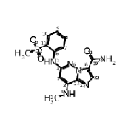 CNc1cc(Nc2ccccc2S(C)(=O)=O)nn2c(C(N)=O)cnc12